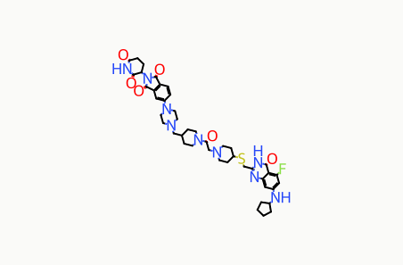 O=C1CCC(N2C(=O)c3ccc(N4CCN(CC5CCN(C(=O)CN6CCC(SCc7nc8cc(NC9CCCC9)cc(F)c8c(=O)[nH]7)CC6)CC5)CC4)cc3C2=O)C(=O)N1